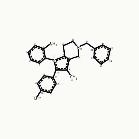 Cc1ccccc1-n1c2c(c(C)c1-c1ccc(Cl)cc1)CN(Cc1ccccc1)CC2